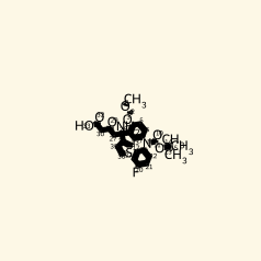 COCOc1ccc(N(C(=O)OC(C)(C)C)c2ccc(F)cc2)cc1C(N)(CC(=O)CC(=O)O)c1ccsc1